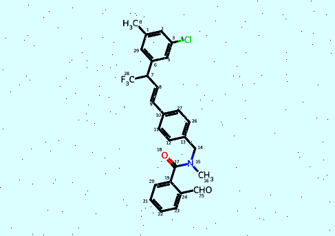 Cc1cc(Cl)cc(C(/C=C/c2ccc(CN(C)C(=O)c3ccccc3C=O)cc2)C(F)(F)F)c1